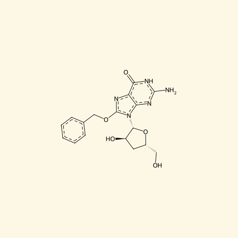 Nc1nc2c(nc(OCc3ccccc3)n2[C@@H]2O[C@H](CO)C[C@H]2O)c(=O)[nH]1